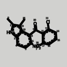 Cc1[nH]c2ccc([N+](=O)[O-])c(C(=O)c3c(Cl)cccc3Cl)c2c1C